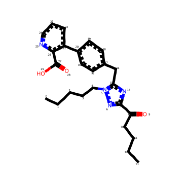 CCCCCn1nc(C(=O)CCCC)nc1Cc1ccc(-c2cccnc2C(=O)O)cc1